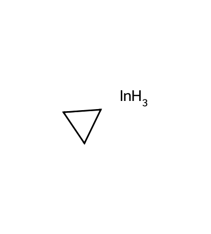 C1CC1.[InH3]